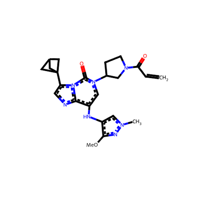 C=CC(=O)N1CCC(n2cc(Nc3cn(C)nc3OC)c3ncc(C45CC(C4)C5)n3c2=O)C1